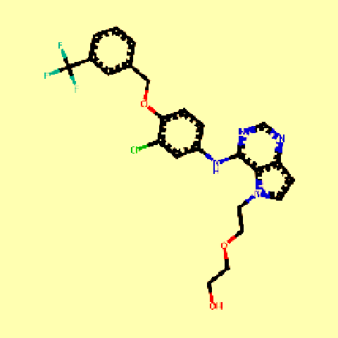 OCCOCCn1ccc2ncnc(Nc3ccc(OCc4cccc(C(F)(F)F)c4)c(Cl)c3)c21